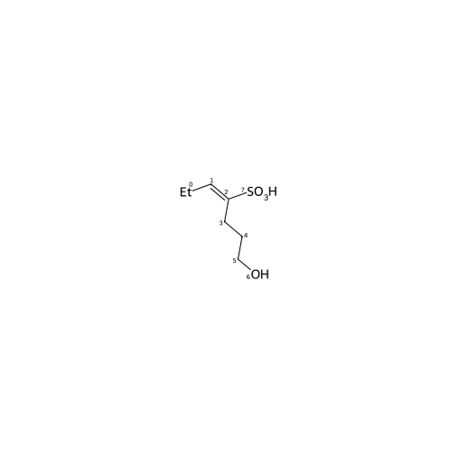 CCC=C(CCCO)S(=O)(=O)O